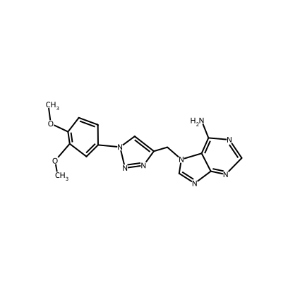 COc1ccc(-n2cc(Cn3cnc4ncnc(N)c43)nn2)cc1OC